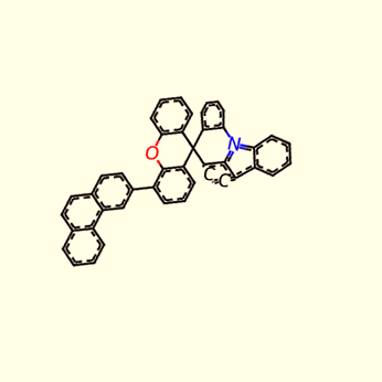 c1ccc2c(c1)Oc1c(-c3ccc4ccc5ccccc5c4c3)cccc1C21c2ccccc2-n2c3ccccc3c3cccc1c32